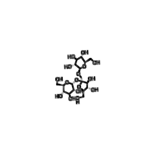 OC[C@H]1O[C@@](CO[C@@H]2O[C@H](CO)[C@@H](O)[C@H](O)[C@H]2O)(O[C@H]2O[C@H](CO)[C@@H](O)[C@H](O)[C@H]2O)[C@@H](O)[C@@H]1O